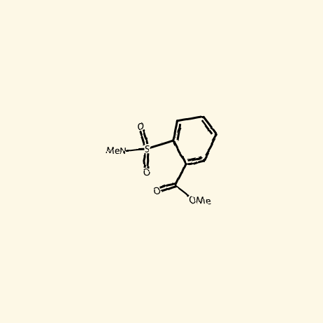 CNS(=O)(=O)c1ccccc1C(=O)OC